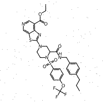 CCCc1ccc(CNC(=O)C2CN(c3nc4c(C(=O)OCC)cncc4s3)CCN2S(=O)(=O)c2ccc(OC(F)(F)F)cc2)cc1